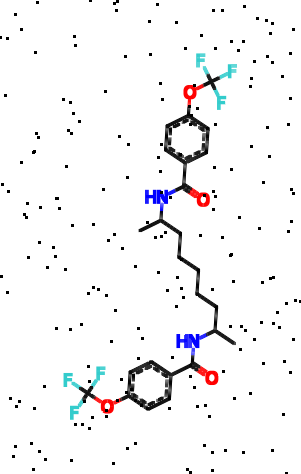 CC(CCCCCC(C)NC(=O)c1ccc(OC(F)(F)F)cc1)NC(=O)c1ccc(OC(F)(F)F)cc1